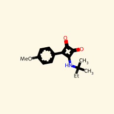 CCC(C)(C)Nc1c(-c2ccc(OC)cc2)c(=O)c1=O